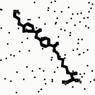 C=CCOc1ccc(C(=O)Oc2ccc(C(=O)OCCCCCOC(=O)C(=C)C)cc2)cc1